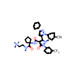 CN(CC[N+](C)(C)C)C(=O)C1(NC(=O)c2c(-c3ccnn3-c3ccc(C#N)cc3)n(C)n(-c3cccc(C(F)(F)F)c3)c2=O)CCCC1.c1ccccc1